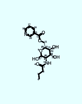 CCCC(=O)N[C@H]1C(O)O[C@H](COC(=O)c2cccnc2)[C@@H](O)[C@@H]1O